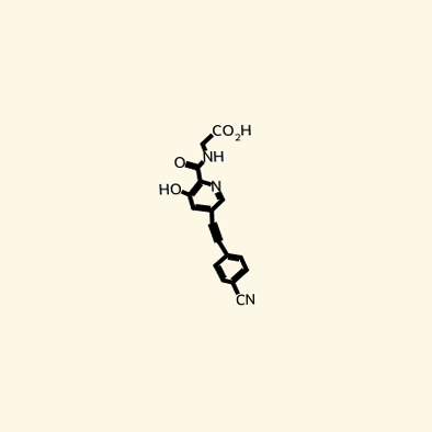 N#Cc1ccc(C#Cc2cnc(C(=O)NCC(=O)O)c(O)c2)cc1